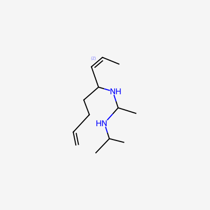 C=CCCC(/C=C\C)NC(C)NC(C)C